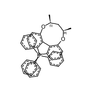 C[C@@H]1C[C@H](C)Oc2cccc(P(c3ccccc3)c3ccccc3)c2-c2c(cccc2P(c2ccccc2)c2ccccc2)O1